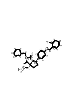 CC(=O)[C@]1(COP)CC[C@H](c2ccc(OCc3ccccc3F)cc2)N1C(=O)OCc1ccccc1